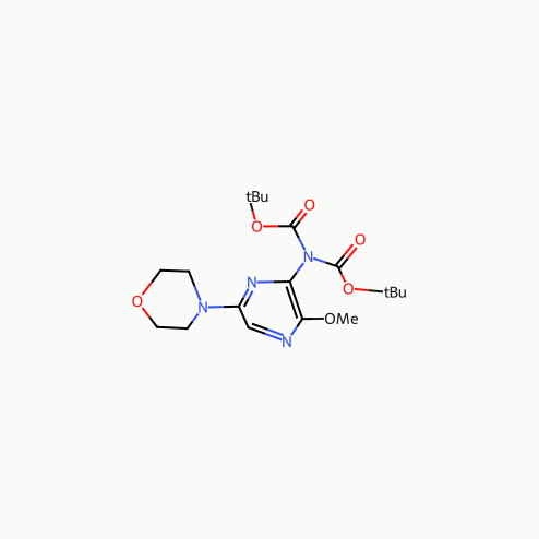 COc1ncc(N2CCOCC2)nc1N(C(=O)OC(C)(C)C)C(=O)OC(C)(C)C